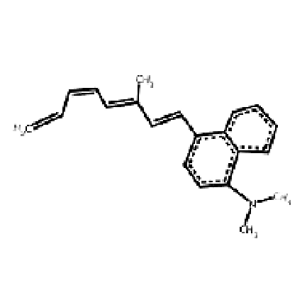 C=C\C=C/C=C(C)/C=C/c1ccc(N(C)C)c2ccccc12